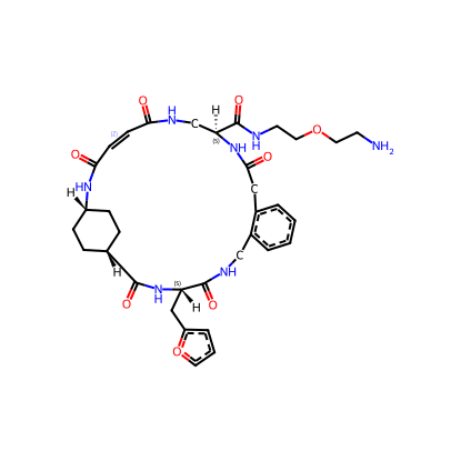 NCCOCCNC(=O)[C@@H]1CNC(=O)/C=C\C(=O)N[C@H]2CC[C@H](CC2)C(=O)N[C@@H](Cc2ccco2)C(=O)NCc2ccccc2CC(=O)N1